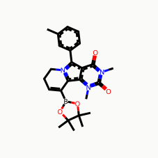 Cc1cccc(-c2c3c(=O)n(C)c(=O)n(C)c3c3n2CCC=C3B2OC(C)(C)C(C)(C)O2)c1